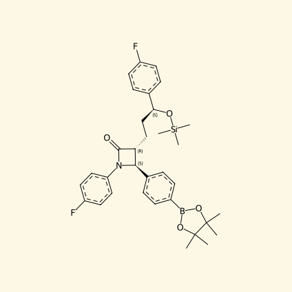 CC1(C)OB(c2ccc([C@@H]3[C@@H](CC[C@H](O[Si](C)(C)C)c4ccc(F)cc4)C(=O)N3c3ccc(F)cc3)cc2)OC1(C)C